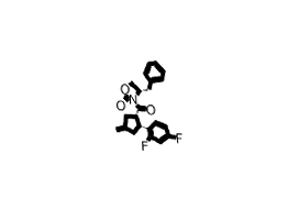 C=C1C[C@H](C(=O)N2C(=O)OC[C@@H]2Cc2ccccc2)[C@H](c2ccc(F)cc2F)C1